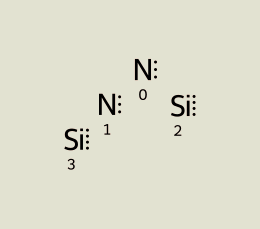 [N].[N].[Si].[Si]